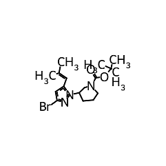 CC(C)=Cc1cc(Br)nn1C1CCCN(C(=O)OC(C)(C)C)C1